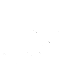 CCN(CC)c1nc2cc(C(=O)O)ccc2nc1-c1ccc2[nH]ccc2c1